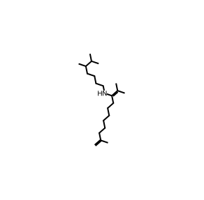 C=C(C)CCCCCCC(NCCCCC(C)C(C)C)=C(C)C